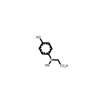 O=NN(CC(=O)O)c1ccc(O)cc1